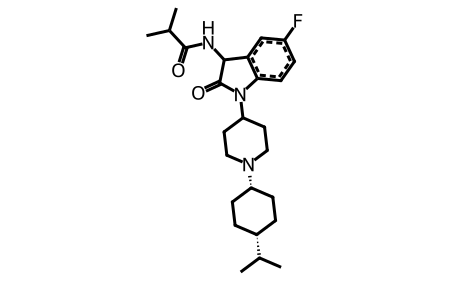 CC(C)C(=O)NC1C(=O)N(C2CCN([C@H]3CC[C@@H](C(C)C)CC3)CC2)c2ccc(F)cc21